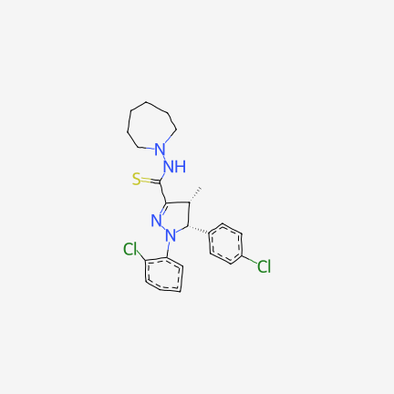 C[C@H]1C(C(=S)NN2CCCCCC2)=NN(c2ccccc2Cl)[C@H]1c1ccc(Cl)cc1